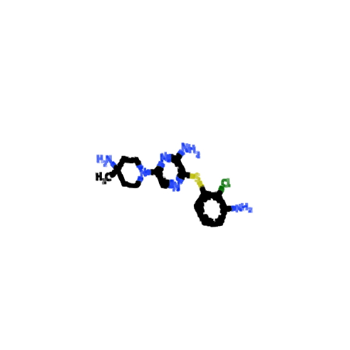 CC1(N)CCN(c2cnc(Sc3cccc(N)c3Cl)c(N)n2)CC1